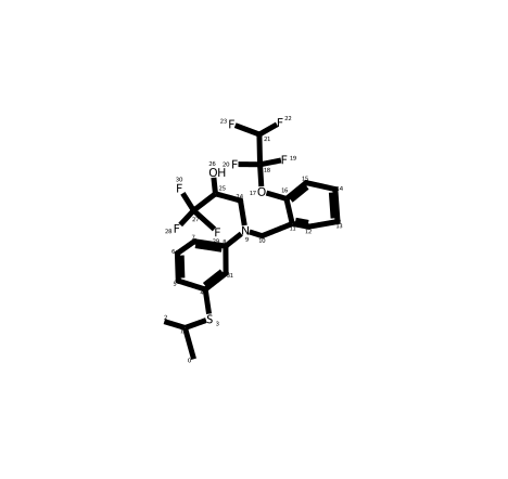 CC(C)Sc1cccc(N(Cc2ccccc2OC(F)(F)C(F)F)CC(O)C(F)(F)F)c1